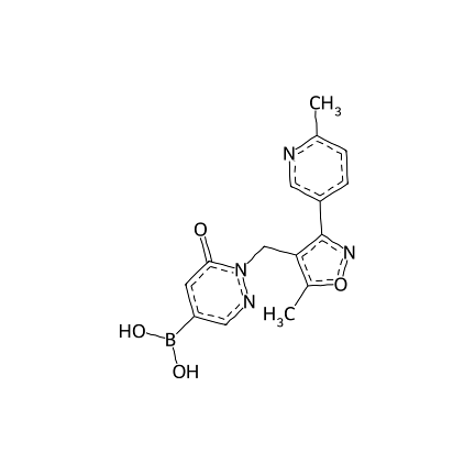 Cc1ccc(-c2noc(C)c2Cn2ncc(B(O)O)cc2=O)cn1